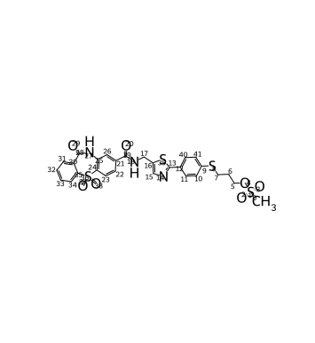 CS(=O)(=O)OCCCSc1ccc(-c2ncc(CNC(=O)c3ccc4c(c3)NC(=O)c3ccccc3S4(=O)=O)s2)cc1